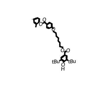 Cc1c[c]ccc1OC(=O)c1ccc(OCCCCCCCCOC(=O)c2cc(C(C)(C)C)c(O)c(C(C)(C)C)c2)cc1